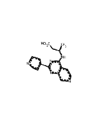 O=C(O)CC(Nc1nc(-c2ccncc2)nc2cnccc12)C(F)(F)F